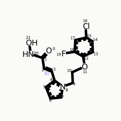 O=C(/C=C/c1cccn1CCOc1ccc(Cl)cc1F)NO